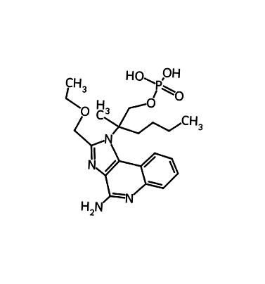 CCCCC(C)(COP(=O)(O)O)n1c(COCC)nc2c(N)nc3ccccc3c21